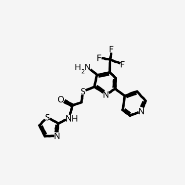 Nc1c(C(F)(F)F)cc(-c2ccncc2)nc1SCC(=O)Nc1nccs1